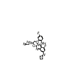 N#CCNC(=O)COc1cc(F)ccc1Nc1ncnc2cc(N=S3CCC3)cc(F)c12